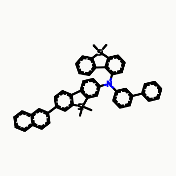 C[Si]1(C)c2cc(-c3ccc4ccccc4c3)ccc2-c2ccc(N(c3cccc(-c4ccccc4)c3)c3cccc4c3-c3ccccc3[Si]4(C)C)cc21